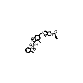 C#CC(=O)N1Cc2cn(Cc3cc(C)c4c(NS(=O)(=O)c5ccccc5C)noc4c3)nc2C1